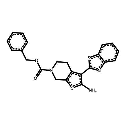 Nc1sc2c(c1-c1nc3ccccc3s1)CCN(C(=O)OCc1ccccc1)C2